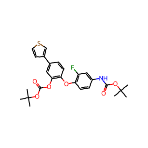 CC(C)(C)OC(=O)Nc1ccc(Oc2ccc(-c3ccsc3)cc2OC(=O)OC(C)(C)C)c(F)c1